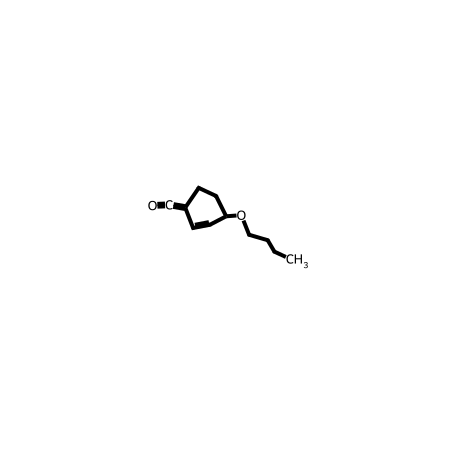 CCCCOC1C=CC(=C=O)CC1